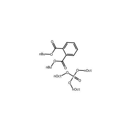 CCCCCCCCOP(=O)(OCCCCCCCC)OCCCCCCCC.CCCCOC(=O)c1ccccc1C(=O)OCCCC